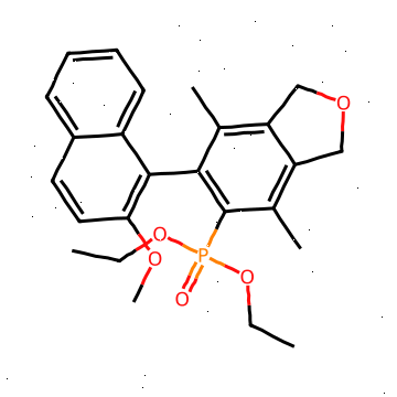 CCOP(=O)(OCC)c1c(C)c2c(c(C)c1-c1c(OC)ccc3ccccc13)COC2